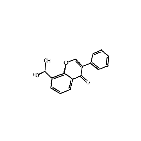 O=c1c(-c2ccccc2)coc2c(C(O)O)cccc12